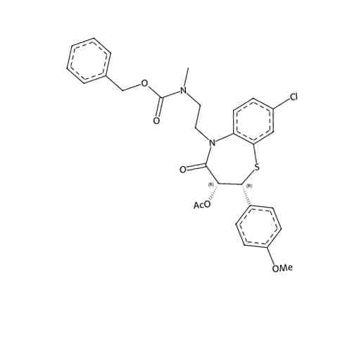 COc1ccc([C@H]2Sc3cc(Cl)ccc3N(CCN(C)C(=O)OCc3ccccc3)C(=O)[C@H]2OC(C)=O)cc1